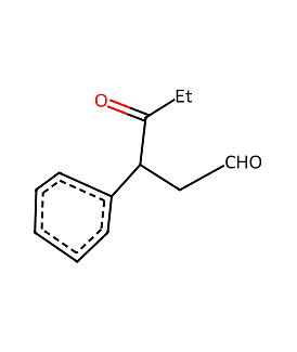 CCC(=O)C(CC=O)c1ccccc1